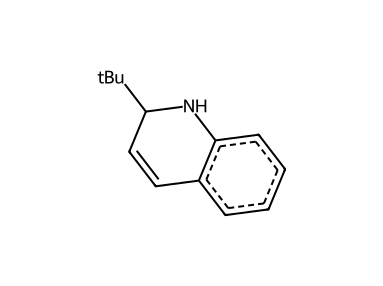 CC(C)(C)C1C=Cc2ccccc2N1